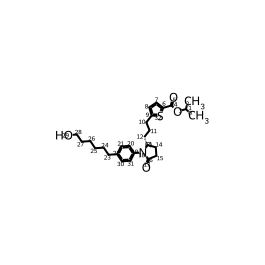 CC(C)OC(=O)c1ccc(CCC[C@@H]2CCC(=O)N2c2ccc(CCCCCCO)cc2)s1